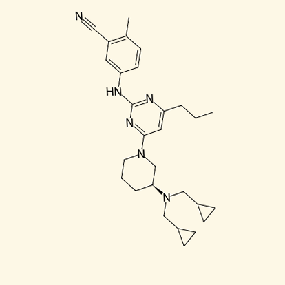 CCCc1cc(N2CCC[C@H](N(CC3CC3)CC3CC3)C2)nc(Nc2ccc(C)c(C#N)c2)n1